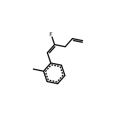 C=CC/C(F)=C\c1ccccc1C